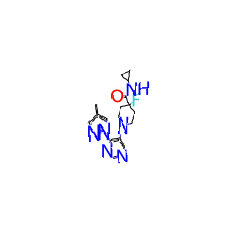 Cc1cnn(-c2ncncc2N2CCC(F)(C(=O)NC3CC3)CC2)c1